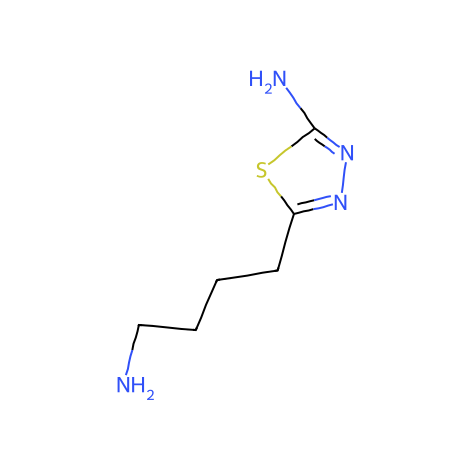 NCCCCc1nnc(N)s1